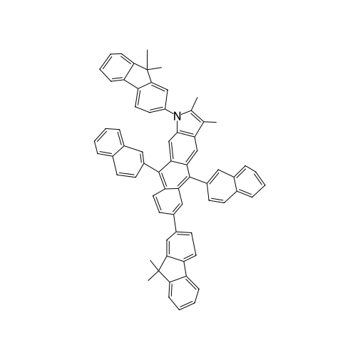 Cc1c(C)n(-c2ccc3c(c2)C(C)(C)c2ccccc2-3)c2cc3c(-c4ccc5ccccc5c4)c4ccc(-c5ccc6c(c5)C(C)(C)c5ccccc5-6)cc4c(-c4ccc5ccccc5c4)c3cc12